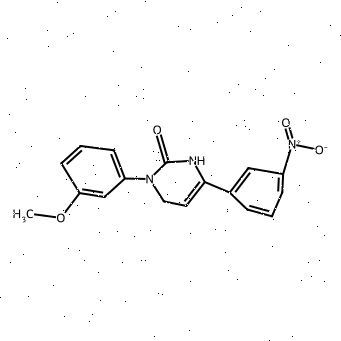 COc1cccc(N2CC=C(c3cccc([N+](=O)[O-])c3)NC2=O)c1